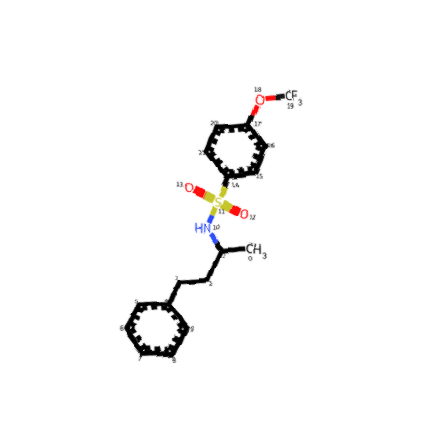 CC(CCc1ccccc1)NS(=O)(=O)c1ccc(OC(F)(F)F)cc1